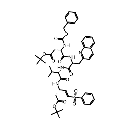 CC(C)[C@H](NC(=O)C(Cc1ccc2ccccc2n1)NC(=O)[C@H](CC(=O)OC(C)(C)C)NC(=O)OCc1ccccc1)C(=O)N[C@H](/C=C/S(=O)(=O)c1ccccc1)CC(=O)OC(C)(C)C